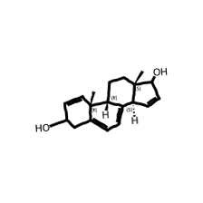 C[C@]12C=CC(O)CC1=CC=C1[C@H]2CC[C@]2(C)C(O)C=C[C@@H]12